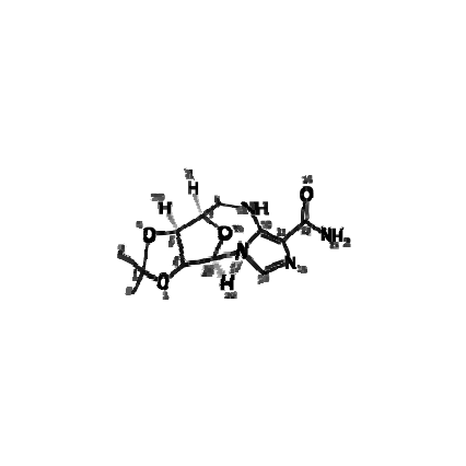 CC1(C)OC2[C@@H](O1)[C@H]1CNc3c(C(N)=O)ncn3[C@@H]2O1